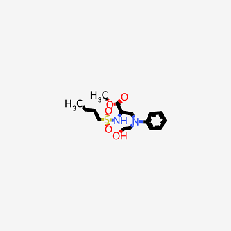 CCCCS(=O)(=O)NC(CN(CCO)c1ccccc1)C(=O)OC